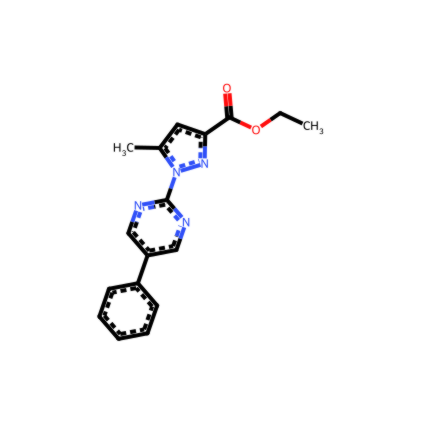 CCOC(=O)c1cc(C)n(-c2ncc(-c3ccccc3)cn2)n1